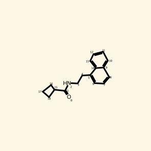 O=C(NCCc1cccc2ccccc12)C1CCC1